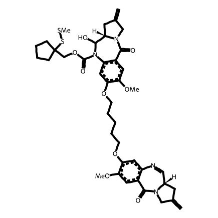 C=C1C[C@H]2C=Nc3cc(OCCCCCOc4cc5c(cc4OC)C(=O)N4CC(=C)C[C@H]4C(O)N5C(=O)OCC4(SSC)CCCC4)c(OC)cc3C(=O)N2C1